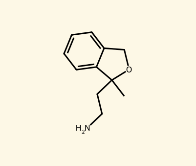 CC1(CCN)OCc2ccccc21